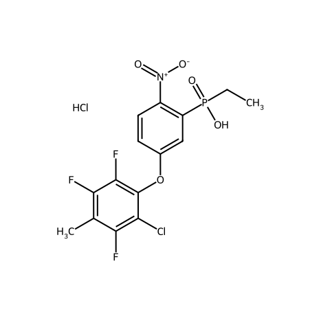 CCP(=O)(O)c1cc(Oc2c(F)c(F)c(C)c(F)c2Cl)ccc1[N+](=O)[O-].Cl